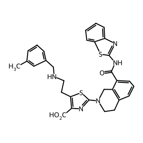 Cc1cccc(CNCCc2sc(N3CCc4cccc(C(=O)Nc5nc6ccccc6s5)c4C3)nc2C(=O)O)c1